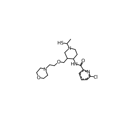 CC(S)N1CCC(NC(=O)c2cccc(Cl)n2)C(COCCN2CCOCC2)C1